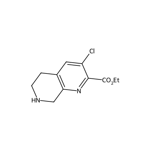 CCOC(=O)c1nc2c(cc1Cl)CCNC2